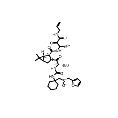 C=CCNC(=O)C(=O)C(CCC)NC(=O)[C@@H]1[C@@H]2C(CN1C(=O)[C@@H](NC(=O)NC1(C[S+]([O-])Cc3ccco3)CCCCC1)C(C)(C)C)C2(C)C